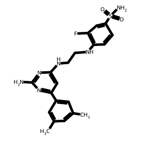 Cc1cc(C)cc(-c2cc(NCCNc3ccc(S(N)(=O)=O)cc3F)nc(N)n2)c1